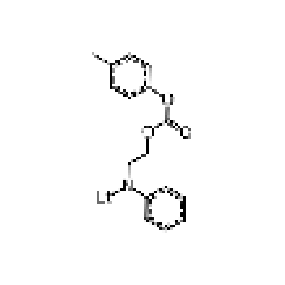 CCN(CCOC(=O)Oc1ccc(C)cc1)c1ccccc1